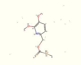 COc1ccc(COC(=S)[SH2]C)nc1OC